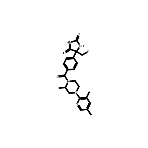 Cc1cnc(N2CCN(C(=O)c3ccc(C4(CF)NC(=O)NC4=O)cc3)C(C)C2)c(C)c1